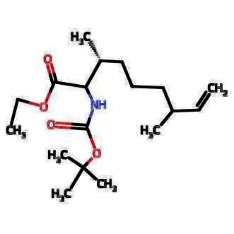 C=CC(C)CCC[C@@H](C)C(NC(=O)OC(C)(C)C)C(=O)OCC